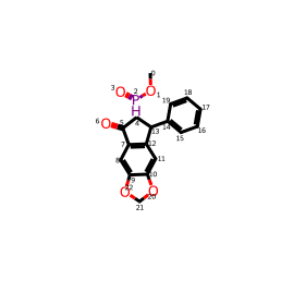 CO[PH](=O)C1C(=O)c2cc3c(cc2C1c1ccccc1)OCO3